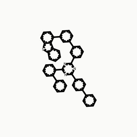 c1ccc(-c2ccc(-c3nc(-c4cccc(-c5cccc(-c6cccc7sc8ccccc8c67)c5)c4)nc(-c4ccccc4-c4ccccc4)n3)cc2)cc1